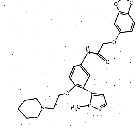 Cn1nccc1-c1cc(NC(=O)COc2ccc3c(c2)OCO3)ccc1OCCN1CCCCC1